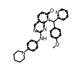 COc1ccc(C(c2ccccn2)n2c(=O)ccc3cnc(Nc4ccc(N5CCCCC5)cc4)nc32)cc1